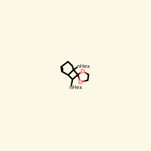 CCCCCCC1C2C=CCCC2(CCCCCC)C12OCCO2